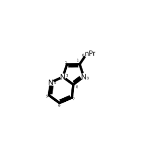 CCCc1cn2ncccc2n1